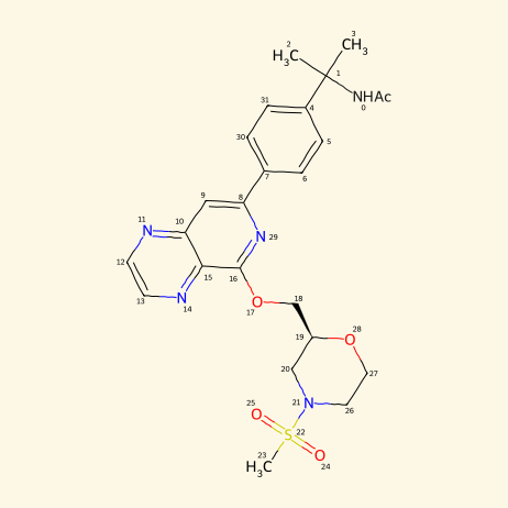 CC(=O)NC(C)(C)c1ccc(-c2cc3nccnc3c(OC[C@@H]3CN(S(C)(=O)=O)CCO3)n2)cc1